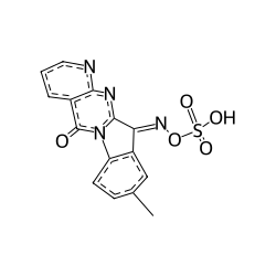 Cc1ccc2c(c1)C(=NOS(=O)(=O)O)c1nc3ncccc3c(=O)n1-2